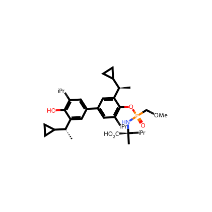 COCP(=O)(N[C@](C)(C(=O)O)C(C)C)Oc1c(C(C)C)cc(-c2cc(C(C)C)c(O)c([C@H](C)C3CC3)c2)cc1[C@H](C)C1CC1